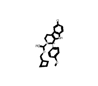 COc1ccc([C@H]2c3[nH]c4ccc(Cl)cc4c3CCN2C(O)OCC2CCC2)cc1